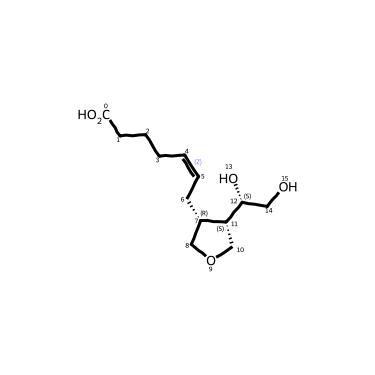 O=C(O)CCC/C=C\C[C@H]1COC[C@H]1[C@H](O)CO